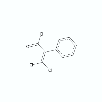 O=C(Cl)C(=C(Cl)Cl)c1ccccc1